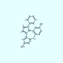 Clc1ccc2c(c1)-n1c(-c3ccccn3)nnc1-c1cc(Cl)cn1C2